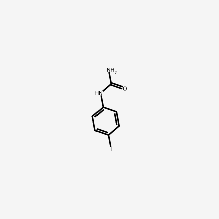 NC(=O)Nc1ccc(I)cc1